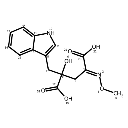 CO/N=C(\CC(O)(Cc1c[nH]c2ccccc12)C(=O)O)C(=O)O